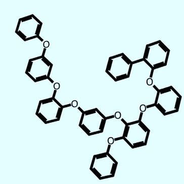 c1ccc(Oc2cccc(Oc3ccccc3Oc3cccc(Oc4c(Oc5ccccc5)cccc4Oc4ccccc4Oc4ccccc4-c4ccccc4)c3)c2)cc1